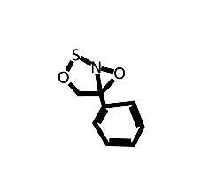 c1ccc(C23COSN2O3)cc1